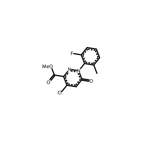 COC(=O)c1nn(-c2c(C)cccc2F)c(=O)cc1Cl